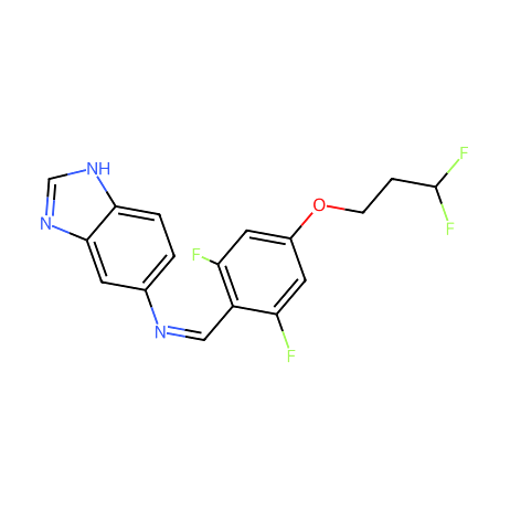 Fc1cc(OCCC(F)F)cc(F)c1/C=N\c1ccc2[nH]cnc2c1